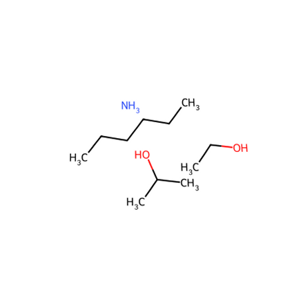 CC(C)O.CCCCCC.CCO.N